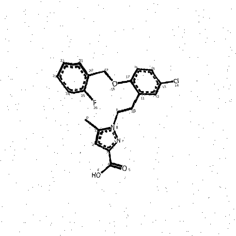 Cc1cc(C(=O)O)nn1CCc1cc(Cl)ccc1OCc1ccccc1F